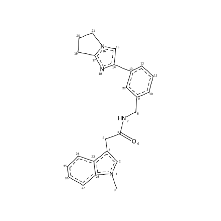 Cn1cc(CC(=O)NCc2cccc(-c3cn4c(n3)CCC4)c2)c2ccccc21